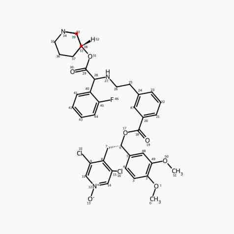 COc1ccc([C@H](Cc2c(Cl)c[n+]([O-])cc2Cl)OC(=O)c2cccc(CCNC(C(=O)O[C@H]3CN4CCC3CC4)c3ccccc3F)c2)cc1OC